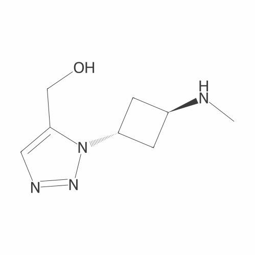 CN[C@H]1C[C@H](n2nncc2CO)C1